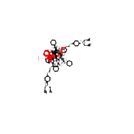 C[Si]1(CCCOc2ccc(N(CC3CO3)CC3CO3)cc2)O[Si](O)(c2ccccc2)O[Si]2(c3ccccc3)O[Si]3(c4ccccc4)O[SiH](c4ccccc4)O[Si]4(Cc5ccccc5)O[Si](c5ccccc5)(O1)O[Si](c1ccccc1)(O[Si](c1ccccc1)(O[Si](C)(CCCOc1ccc(N(CC5CO5)CC5CO5)cc1)O3)O4)O2